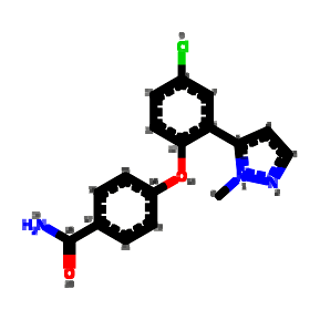 Cn1nccc1-c1cc(Cl)ccc1Oc1ccc(C(N)=O)cc1